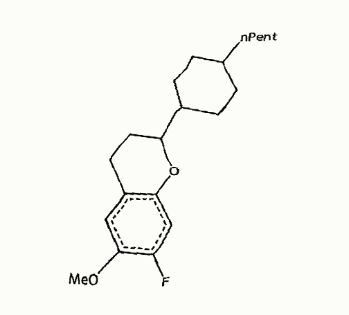 CCCCCC1CCC(C2CCc3cc(OC)c(F)cc3O2)CC1